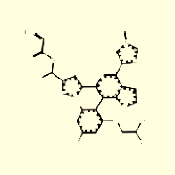 C=CC(=O)NC(C)c1cc(-c2nc(-c3cn(C)cn3)c3ccsc3c2-c2c(F)cc(F)cc2OCC(C)O)n[nH]1